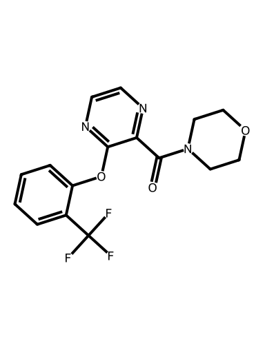 O=C(c1nccnc1Oc1ccccc1C(F)(F)F)N1CCOCC1